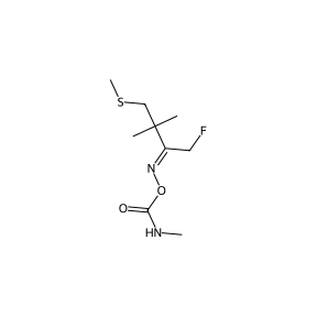 CNC(=O)ON=C(CF)C(C)(C)CSC